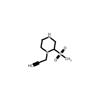 C#CCN1CCNCC1S(C)(=O)=O